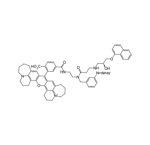 [N-]=[N+]=Nc1cccc(CN(CCNC(=O)c2ccc(C(=O)O)c(C3=c4cc5c6c(c4Oc4c3cc3c7c4CCCN7CCCC3)CCC[N+]=6CCCC5)c2)C(=O)CCNC[C@H](O)COc2cccc3ccccc23)c1